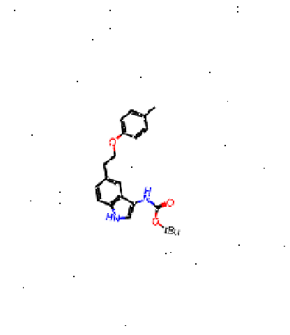 Cc1ccc(OCCc2ccc3[nH]cc(NC(=O)OC(C)(C)C)c3c2)cc1